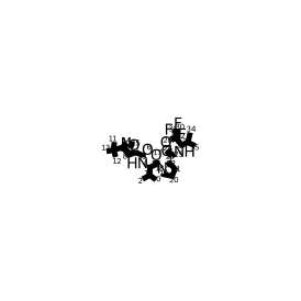 CC(C)[C@H](NC(=O)c1cc(C(C)(C)C)no1)C(=O)N1CCC[C@H]1C(=O)N[C@H](C(=O)C(F)(F)F)C(C)C